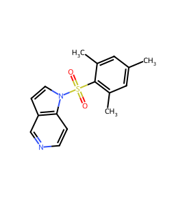 Cc1cc(C)c(S(=O)(=O)n2ccc3cnccc32)c(C)c1